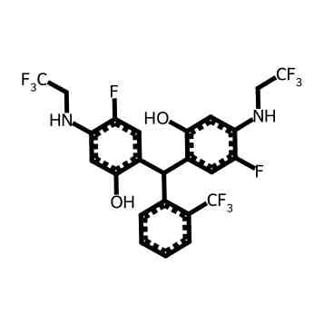 Oc1cc(NCC(F)(F)F)c(F)cc1C(c1cc(F)c(NCC(F)(F)F)cc1O)c1ccccc1C(F)(F)F